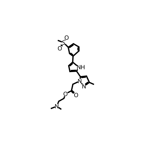 Cc1cc(-c2ccc(-c3cccc(S(C)(=O)=O)c3)[nH]2)n(CC(=O)OCCN(C)C)n1